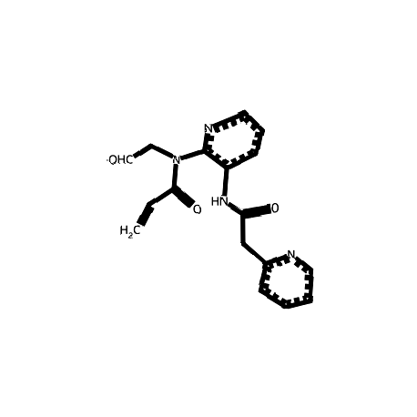 C=CC(=O)N(C[C]=O)c1ncccc1NC(=O)Cc1ccccn1